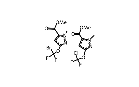 COC(=O)c1cc(OC(F)(F)Br)nn1C.COC(=O)c1cc(OC(F)(F)Cl)nn1C